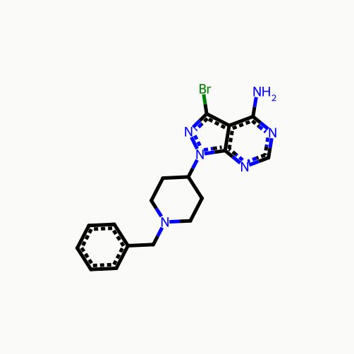 Nc1ncnc2c1c(Br)nn2C1CCN(Cc2ccccc2)CC1